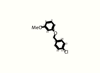 COc1cccc(OCc2ccc(Cl)cc2)c1